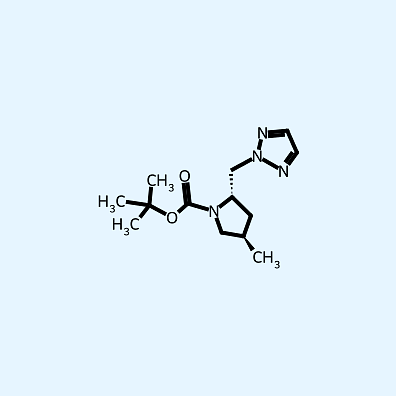 C[C@@H]1C[C@@H](Cn2nccn2)N(C(=O)OC(C)(C)C)C1